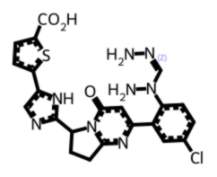 N/N=C\N(N)c1ccc(Cl)cc1-c1cc(=O)n2c(n1)CCC2c1ncc(-c2ccc(C(=O)O)s2)[nH]1